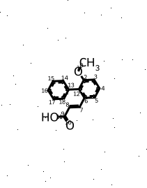 COc1cccc(C=CC(=O)O)c1-c1ccccc1